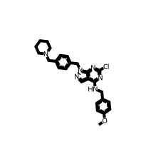 COc1ccc(CNc2nc(Cl)nc3c2cnn3Cc2ccc(CN3CCCCC3)cc2)cc1